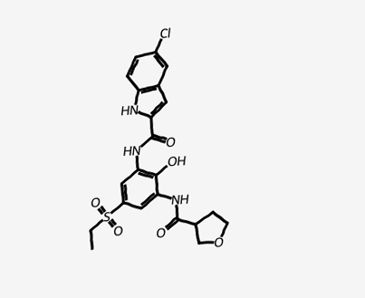 CCS(=O)(=O)c1cc(NC(=O)c2cc3cc(Cl)ccc3[nH]2)c(O)c(NC(=O)C2CCOC2)c1